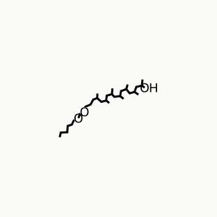 CCCCCCOCOCCCC(C)CC(C)CC(C)CC(C)CC(C)CC(C)CC(C)O